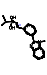 CC(C)[Si](O)(O)/C=C/c1cccc(-c2nc3ccccc3n2C)c1